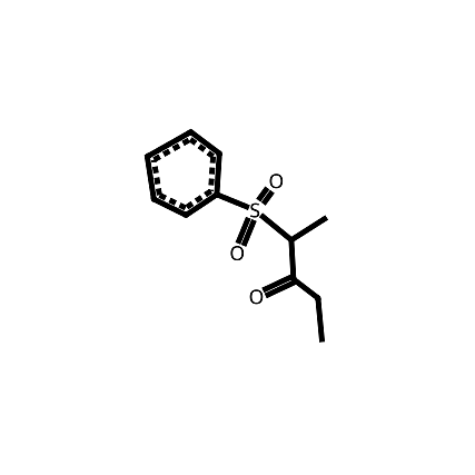 CCC(=O)C(C)S(=O)(=O)c1ccccc1